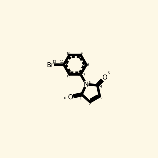 O=C1C=CC(=O)N1c1cccc(Br)c1